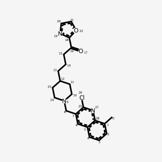 Cc1cccc2cc(CN3CCC(CCCC(=O)c4ncco4)CC3)c(Cl)nc12